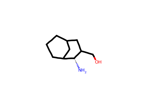 N[C@H]1C(CO)CC2CCCC1C2